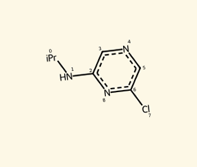 CC(C)Nc1cncc(Cl)n1